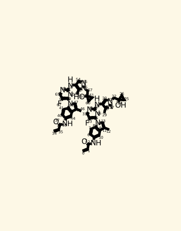 C=CC(=O)Nc1ccc2c(c1)c(C)cn2-c1nc(Nc2cn(CC3(O)CC3)nc2C)ncc1F.C=CC(=O)Nc1ccc2c(c1)c(C)cn2-c1nc(Nc2cnn(CC3(O)CC3)c2C)ncc1F